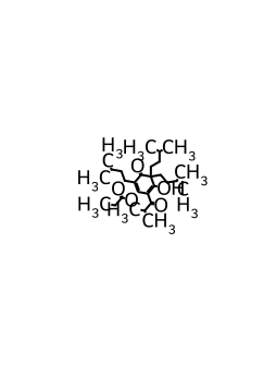 CCC(=O)OC1=C(CCC(C)C)C(=O)C(CCC(C)C)(CCC(C)C)C(O)=C1C(=O)C(C)C